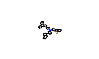 c1cc(-c2cccc3ccccc23)cc(N(c2ccc(-c3ccc4c5ccccc5c5ccccc5c4c3)cc2)c2ccc3c(c2)sc2ccccc23)c1